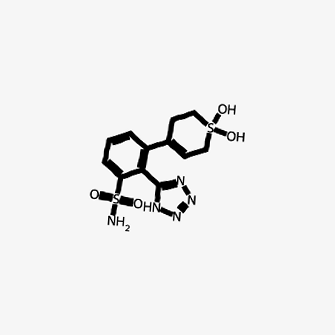 NS(=O)(=O)c1cccc(C2=CCS(O)(O)CC2)c1-c1nnn[nH]1